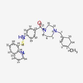 CC1=CC=C(CN2CCCN(C(=O)c3ccc(NSc4cccc5cccnc45)cc3)CC2)CC1